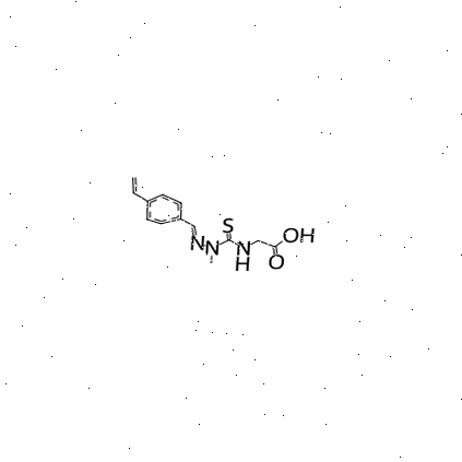 C=Cc1ccc(/C=N/N(C)C(=S)NCC(=O)O)cc1